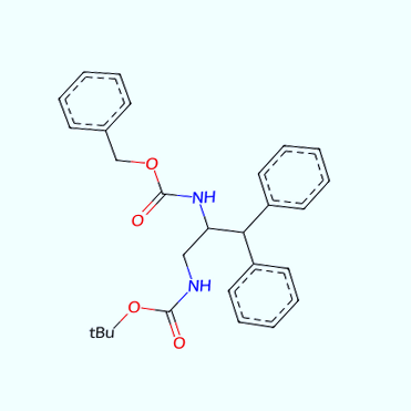 CC(C)(C)OC(=O)NCC(NC(=O)OCc1ccccc1)C(c1ccccc1)c1ccccc1